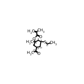 C=C(C)C(=O)OC1(C)CC(SCC)CC(C(C)=O)C1